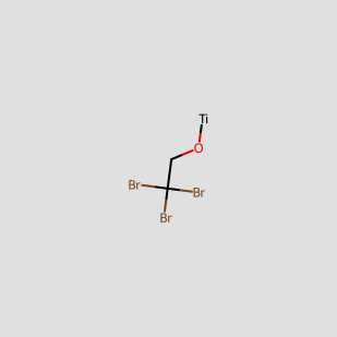 [Ti][O]CC(Br)(Br)Br